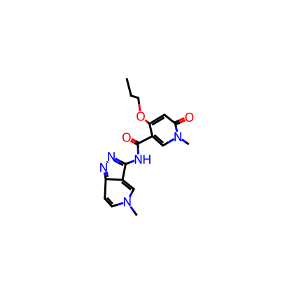 CCCOc1cc(=O)n(C)cc1C(=O)Nc1nnc2ccn(C)cc1-2